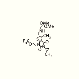 COC(CNCc1sc2c(c1C)c(=O)n(C1CC1C)c(=O)n2CCOC(F)(F)F)OC